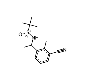 Cc1c(C#N)cccc1C(C)N[S@+]([O-])C(C)(C)C